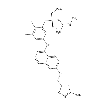 C/N=C(/N)S[C@@](C)(COC)Cc1cc(Nc2nccc3nc(OCc4nc(C)no4)cnc23)cc(F)c1F